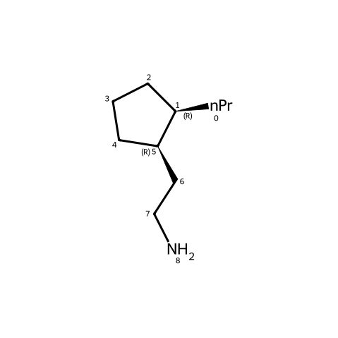 CCC[C@@H]1CCC[C@@H]1CCN